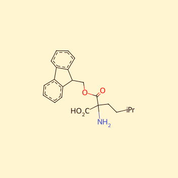 CC(C)CCC(N)(C(=O)O)C(=O)OCC1c2ccccc2-c2ccccc21